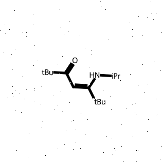 CC(C)N/C(=C\C(=O)C(C)(C)C)C(C)(C)C